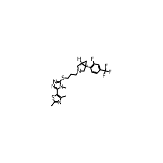 Cc1nc(C)c(-c2nnc(SCCCN3C[C@@H]4C[C@]4(c4ccc(C(F)(F)F)cc4F)C3)n2C)s1